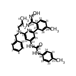 CCCN(Cc1ccccc1)c1cc(NC(=O)Nc2ccc(C)cc2)cc(-c2cc(C)ccc2/C(N)=N\O)n1